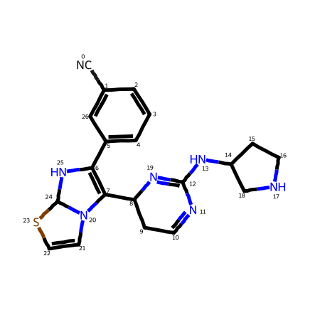 N#Cc1cccc(C2=C(C3CC=NC(NC4CCNC4)=N3)N3C=CSC3N2)c1